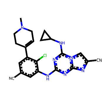 CN1CC=C(c2cc(C#N)cc(Nc3nc(NC4CC4)n4cc(C#N)nc4n3)c2Cl)CC1